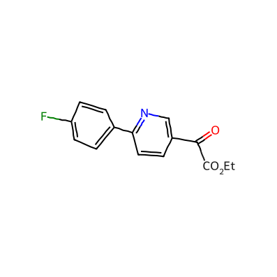 CCOC(=O)C(=O)c1ccc(-c2ccc(F)cc2)nc1